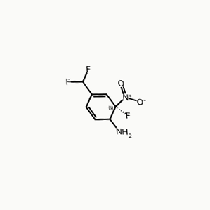 NC1C=CC(C(F)F)=C[C@@]1(F)[N+](=O)[O-]